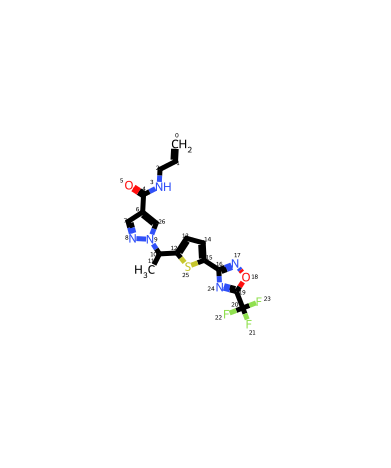 C=CCNC(=O)c1cnn(C(C)c2ccc(-c3noc(C(F)(F)F)n3)s2)c1